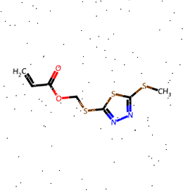 C=CC(=O)OCSc1nnc(SC)s1